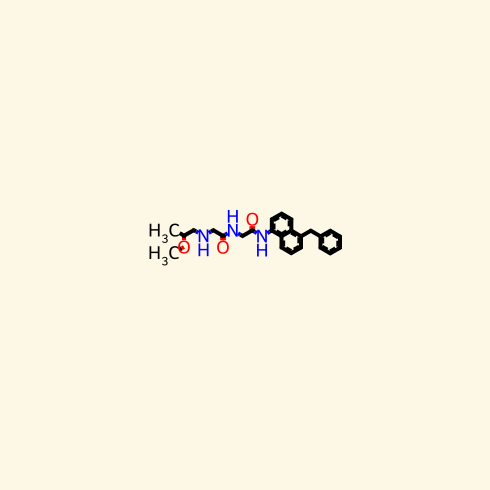 COC(C)CNCC(=O)NCC(=O)Nc1cccc2c(Cc3ccccc3)cccc12